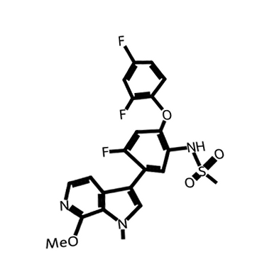 COc1nccc2c(-c3cc(NS(C)(=O)=O)c(Oc4ccc(F)cc4F)cc3F)cn(C)c12